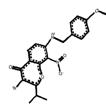 COc1ccc(CNc2ccc3c(=O)c(Br)c(C(C)C)oc3c2[N+](=O)[O-])cc1